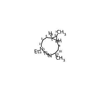 CCN1CCC[C@@H]2C(C)[C@@H]2CCC(C)/N=N\1